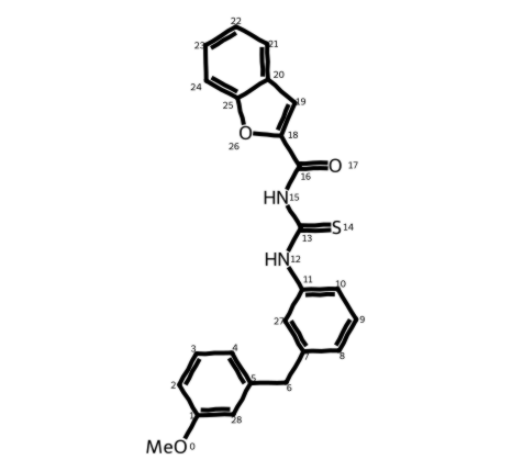 COc1cccc(Cc2cccc(NC(=S)NC(=O)c3cc4ccccc4o3)c2)c1